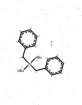 CCCC[N+](CCCC)(Cc1ccccc1)Cc1ccccc1.[I-]